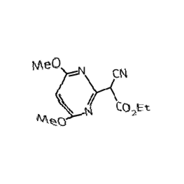 CCOC(=O)C(C#N)c1nc(OC)cc(OC)n1